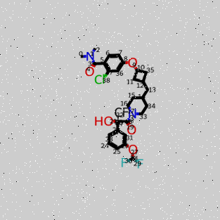 CN(C)C(=O)c1ccc(OC2CC(CC3CCN(C(=O)[C@](O)(c4cccc(OC(F)F)c4)C(F)(F)F)CC3)C2)cc1Cl